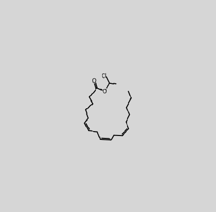 CCCCC/C=C\C/C=C\C/C=C\CCCCC(=O)OC(C)Cl